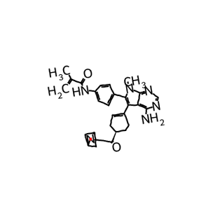 C=C(C)C(=O)Nc1ccc(-c2c(C3=CC[C@H](C(=O)N4CC5CC4C5)CC3)c3c(N)ncnc3n2C)cc1